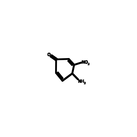 NC1C=CC(=O)C=C1[N+](=O)[O-]